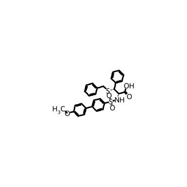 COc1ccc(-c2ccc(S(=O)(=O)N[C@@H](C(=O)O)[C@H](SCc3ccccc3)c3ccccc3)cc2)cc1